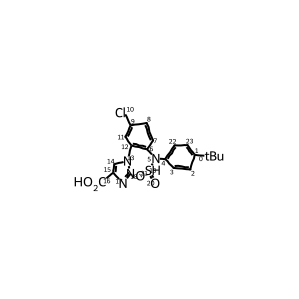 CC(C)(C)c1ccc(N(c2ccc(Cl)cc2-n2cc(C(=O)O)nn2)[SH](=O)=O)cc1